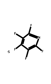 Fc1nc(F)c(F)c(F)c1F.[S]